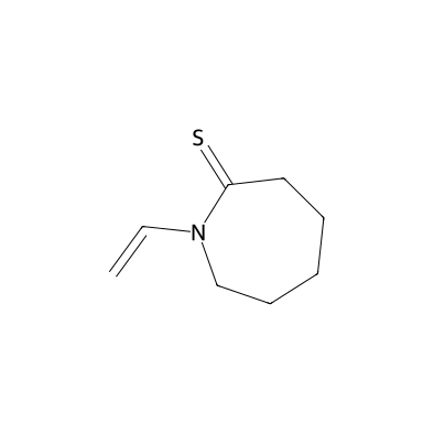 C=CN1CCCCCC1=S